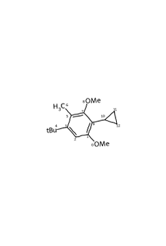 COc1cc(C(C)(C)C)c(C)c(OC)c1C1CC1